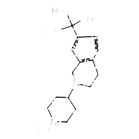 CN1CCC(N2CCc3ccc(C(C)(C)C)cc3C2)CC1